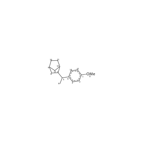 COc1ccc(C(C)C2CC3CCC2C3)cc1